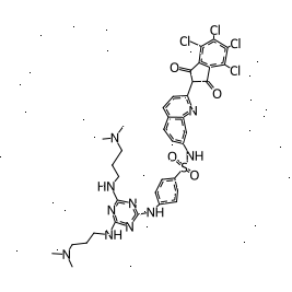 CN(C)CCCNc1nc(NCCCN(C)C)nc(Nc2ccc(S(=O)(=O)Nc3ccc4ccc(C5C(=O)c6c(Cl)c(Cl)c(Cl)c(Cl)c6C5=O)nc4c3)cc2)n1